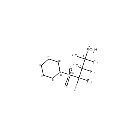 O=S(=O)(O)C(F)(F)C(F)(F)C(F)(F)S(=O)(=O)N1CCCCC1